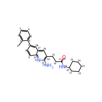 Cc1ccccc1-c1ccc2nc(N)c(CCC(=O)NC3CCCCC3)cc2c1